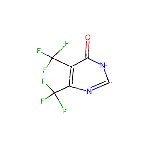 O=C1[N][C]=NC(C(F)(F)F)=C1C(F)(F)F